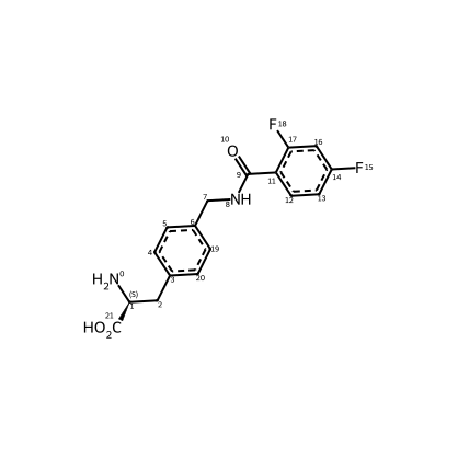 N[C@@H](Cc1ccc(CNC(=O)c2ccc(F)cc2F)cc1)C(=O)O